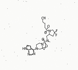 CN(CC1CC(F)(F)CN1S(=O)(=O)CCCC#N)S(=O)(=O)N1CCN(c2ncnc3[nH]ccc23)CC12CC2